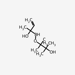 C=CC(C)(O)BOC(C)(C)C(C)(C)O